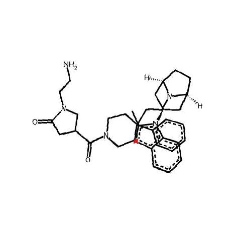 Cc1nc2ccccc2n1[C@H]1C[C@H]2CC[C@@H](C1)N2CCC1(c2ccccc2)CCN(C(=O)C2CC(=O)N(CCN)C2)CC1